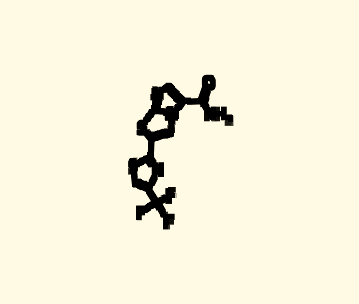 NC(=O)c1cnc2sc(-c3nc(C(F)(F)F)cs3)cn12